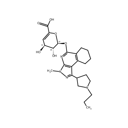 CCCN1CCC(c2nn(C)c3nc(O[C@@H]4OC(C(=O)O)=C[C@H](O)[C@H]4O)c4c(c23)CCCC4)C1